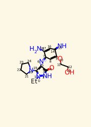 CCn1[nH]c(=O)c(/N=C2\C=C(OCCO)C(=N)C=C2N)c1N1CCCC1